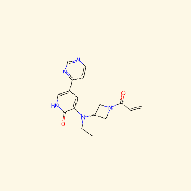 C=CC(=O)N1CC(N(CC)c2cc(-c3ccncn3)c[nH]c2=O)C1